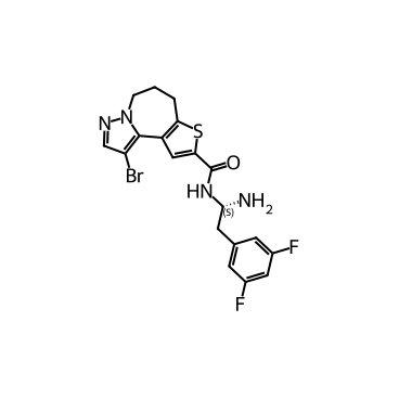 N[C@H](Cc1cc(F)cc(F)c1)NC(=O)c1cc2c(s1)CCCn1ncc(Br)c1-2